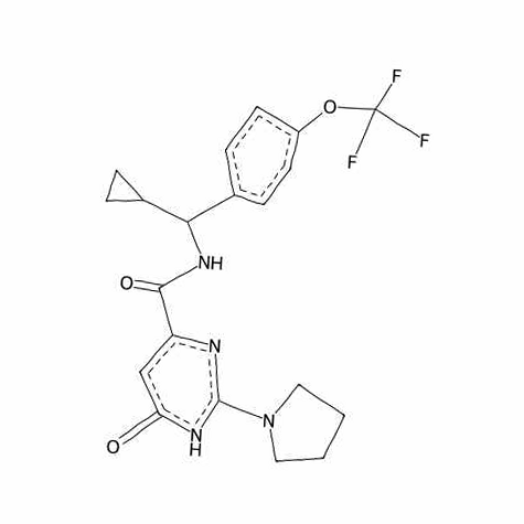 O=C(NC(c1ccc(OC(F)(F)F)cc1)C1CC1)c1cc(=O)[nH]c(N2CCCC2)n1